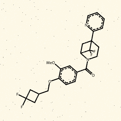 COc1cc(C(=O)N2CCC3(c4ccccn4)CC2C3(F)F)ccc1OCC1CC(F)(F)C1